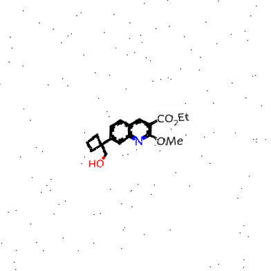 CCOC(=O)c1cc2ccc(C3(CO)CCC3)cc2nc1OC